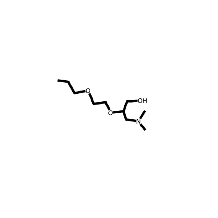 CCCOCCOC(CO)CN(C)C